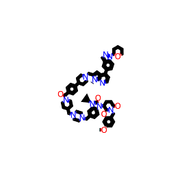 COc1ccc(CN2C(=O)CCC(n3c(=O)n(C4CC4)c4cc(CN5CCN(CC6CCN(C(=O)c7ccc(C8CCN(Cc9cc%10c(-c%11ccc%12c(cnn%12C%12CCCCO%12)c%11)ccnc%10n9C)CC8)cc7)CC6)CC5)ccc43)C2=O)cc1